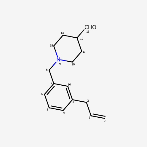 C=CCc1cccc(CN2CCC(C=O)CC2)c1